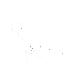 O=C(OCCN1CCNCC1)[C@H]1[C@H](C(=O)NCc2ccc(Br)cc2F)[C@@H]2CC[C@H]1C21CC1